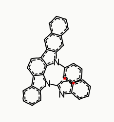 c1ccc(-n2c3cc4ccccc4cc3c3ccc4c5ccccc5n(-c5nc6ccccc6s5)c4c32)cc1